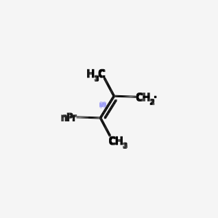 [CH2]/C(C)=C(\C)CCC